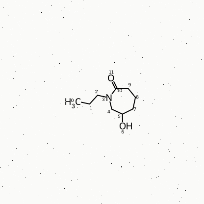 CCCN1CC(O)CCCC1=O